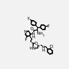 NC(C(=O)Nc1cncc(F)c1CC[C@@H]1CNC[C@@H](CNCc2ccccc2Cl)O1)C(c1ccc(F)cc1)c1ccc(F)cc1